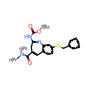 CCCN(CCC)C(=O)C1=Cc2ccc(SCc3ccccc3)cc2N=C(NC(=O)OC(C)(C)C)C1